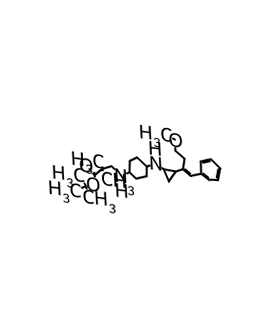 COCC/C(=C\c1ccccc1)C1CC1NC1CCC(NCC(C)(C)C(=O)OC(C)(C)C)CC1